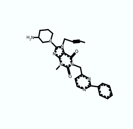 CC#CCn1c(N2CCCC(N)C2)nc2c1c(=O)n(Cc1ccnc(-c3ccccc3)n1)c(=O)n2C